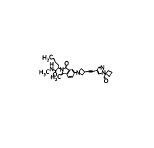 C=CCCC(C(=O)NC)N1C(=C)c2ccc(N3CC(C#Cc4cnn(C5(C=O)CCC5)c4)C3)cc2C1=O